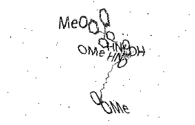 COC(=O)CCCCCCCCCCC(=O)N[C@H](C(=O)NCCOC(c1ccccc1)(c1ccc(OC)cc1)c1ccc(OC)cc1)[C@@H](C)O